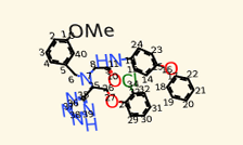 COc1cccc(CN(CC(=O)Nc2ccc(Oc3ccccc3)cc2)C(COc2ccccc2Cl)c2nnn[nH]2)c1